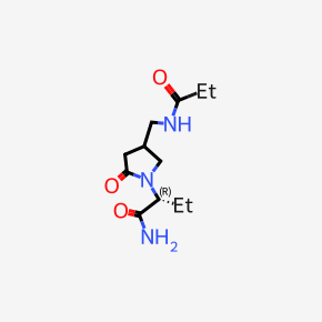 CCC(=O)NCC1CC(=O)N([C@H](CC)C(N)=O)C1